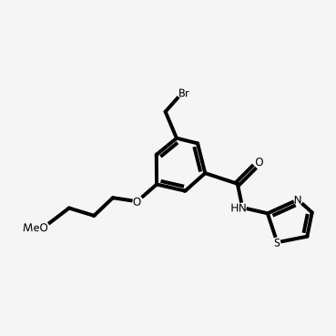 COCCCOc1cc(CBr)cc(C(=O)Nc2nccs2)c1